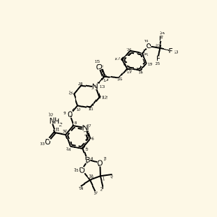 CC1(C)OB(c2cnc(OC3CCN(C(=O)Cc4ccc(OC(F)(F)F)cc4)CC3)c(C(N)=O)c2)OC1(C)C